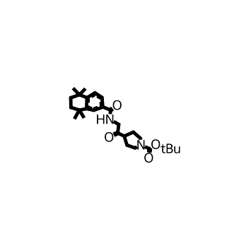 CC(C)(C)OC(=O)N1CCC(C(=O)CNC(=O)c2ccc3c(c2)C(C)(C)CCC3(C)C)CC1